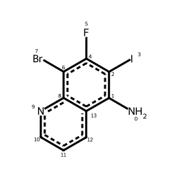 Nc1c(I)c(F)c(Br)c2ncccc12